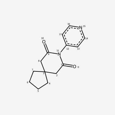 O=C1CC2(CCCC2)CC(=O)N1c1ccncc1